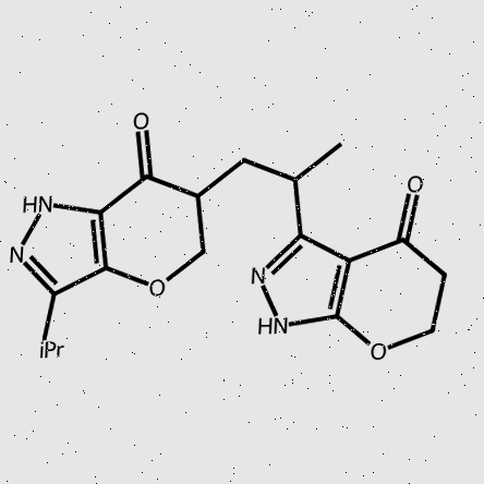 CC(C)c1n[nH]c2c1OCC(CC(C)c1n[nH]c3c1C(=O)CCO3)C2=O